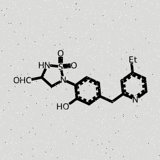 CCc1ccnc(Cc2ccc(N3CC(C=O)NS3(=O)=O)c(O)c2)c1